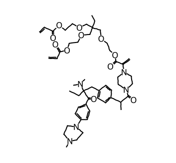 C=CC(=O)OCCOCC(CC)(COCCOC(=O)C=C)COCCOC(=O)C(=C)N1CCN(C(=O)C(C)c2ccc(CC(CC)(C(=O)c3ccc(N4CCN(C)CC4)cc3)N(C)C)cc2)CC1